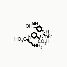 CCCC(=O)Nc1ccc(C=O)cc1.N.NCCC[C@H](N)C(=O)O.O=C(O)CC1CCCCC1